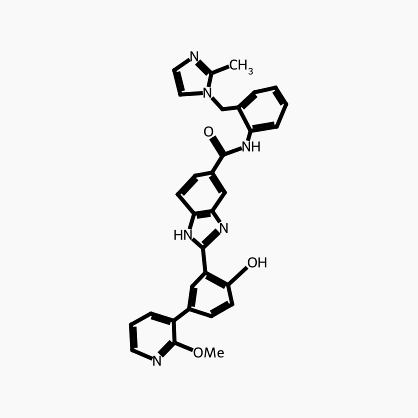 COc1ncccc1-c1ccc(O)c(-c2nc3cc(C(=O)Nc4ccccc4Cn4ccnc4C)ccc3[nH]2)c1